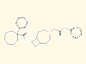 O=C(CN1CCC2C[C@H](OC(=O)C3(c4ccccc4)CCCCCC3)C2CC1)Nc1ncccn1